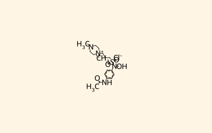 CC(=O)Nc1ccc(N(O)S(=O)(=O)CCC[N+]2(C)CCN(C)CC2)cc1.[Cl-]